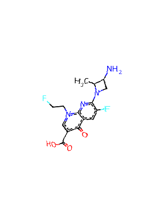 CC1C(N)CN1c1nc2c(cc1F)c(=O)c(C(=O)O)cn2CCF